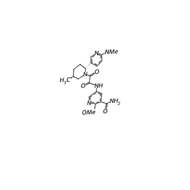 CNc1ccc([C@H]2CC[C@H](C)CN2C(=O)C(=O)Nc2cnc(OC)c(C(N)=O)c2)cn1